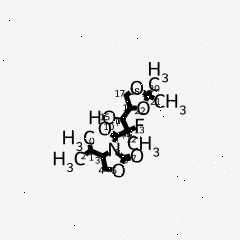 CC(C)C1COC(=O)N1C(=O)[C@](C)(F)[C@H](O)C1COC(C)(C)O1